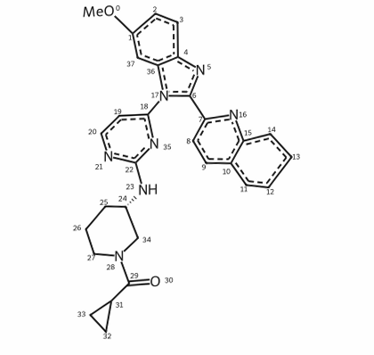 COc1ccc2nc(-c3ccc4ccccc4n3)n(-c3ccnc(N[C@H]4CCCN(C(=O)C5CC5)C4)n3)c2c1